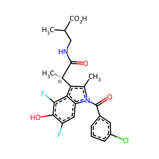 Cc1c([C@H](C)C(=O)NCC(C)C(=O)O)c2c(F)c(O)c(F)cc2n1C(=O)c1cccc(Cl)c1